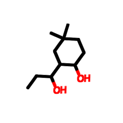 CCC(O)C1CC(C)(C)CCC1O